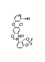 N#Cc1cc(Oc2ccc(NN(C=O)c3cccc4c3COC(F)(F)O4)cc2Cl)ccn1